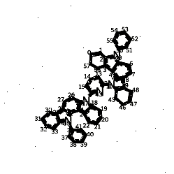 C1=Cc2c(c3c(ccc4c5c(n(-c6cccc(-n7c8ccccc8c8c7ccc7c9ccccc9n(-c9ccccc9)c78)n6)c43)CCC=C5)n2-c2ccccc2)CC1